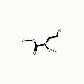 CCOC(=O)N(C)CCC(C)C